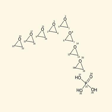 C1CO1.C1CO1.C1CO1.C1CO1.C1CO1.C1CO1.C1CO1.C1CO1.O=P(O)(O)O